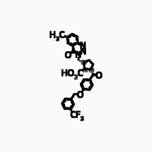 Cc1ccc2nnn(C[C@@H]3CC[C@H](C(=O)c4ccc(OCc5cccc(C(F)(F)F)c5)cc4)[C@H]3C(=O)O)c(=O)c2c1